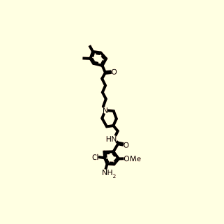 COc1cc(N)c(Cl)cc1C(=O)NCC1CCN(CCCCCC(=O)c2ccc(C)c(C)c2)CC1